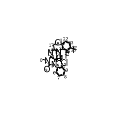 CN1C(=O)N(c2ccccc2Cl)C(=O)C1=NC(CCl)Nc1cccc(F)c1F